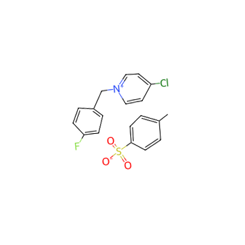 Cc1ccc(S(=O)(=O)[O-])cc1.Fc1ccc(C[n+]2ccc(Cl)cc2)cc1